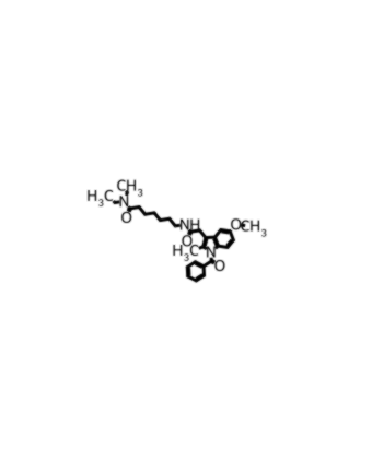 CCN(CC)C(=O)CCCCCCNC(=O)Cc1c(C)n(C(=O)c2ccccc2)c2ccc(OC)cc12